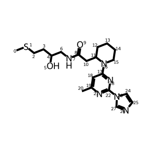 CSCCC(O)CNC(=O)CC1CCCCN1c1cc(C)nc(-n2ccnc2)n1